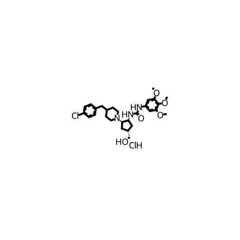 COc1cc(NC(=O)N[C@@H]2C[C@H](CO)C[C@@H]2N2CCC(Cc3ccc(Cl)cc3)CC2)cc(OC)c1OC.Cl